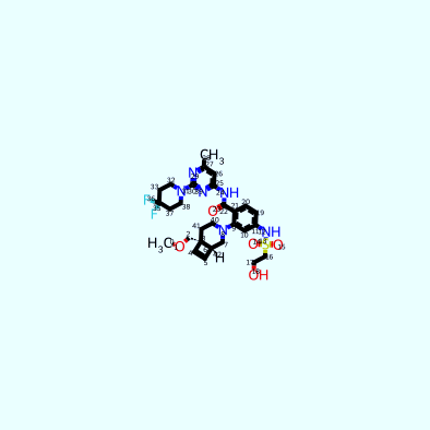 COC[C@@]12C=C[C@@H]1CN(c1cc(NS(=O)(=O)CCO)ccc1C(=O)Nc1cc(C)nc(N3CCC(F)(F)CC3)n1)CC2